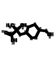 CC(O)(CC1CCC(CO)CC1)C(=O)O